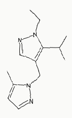 CCn1ncc(Cn2nccc2C)c1C(C)C